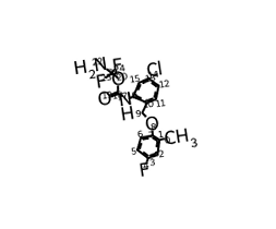 Cc1cc(F)ccc1OCc1ccc(Cl)cc1NC(=O)OC(N)(F)F